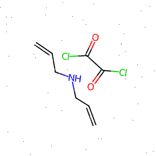 C=CCNCC=C.O=C(Cl)C(=O)Cl